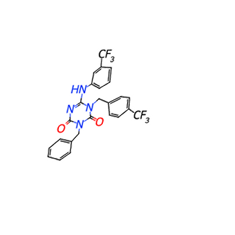 O=c1nc(Nc2cccc(C(F)(F)F)c2)n(Cc2ccc(C(F)(F)F)cc2)c(=O)n1Cc1ccccc1